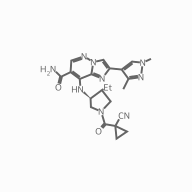 CC[C@H]1CN(C(=O)C2(C#N)CC2)C[C@H]1Nc1c(C(N)=O)cnn2cc(-c3cn(C)nc3C)nc12